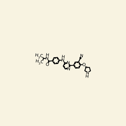 CC(C)NC(=O)c1ccc(Nc2ccnc(-c3ccc(O[C@@H]4CCNC4)c(C#N)c3)n2)cc1